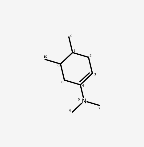 CC1CC=C(N(C)C)CC1C